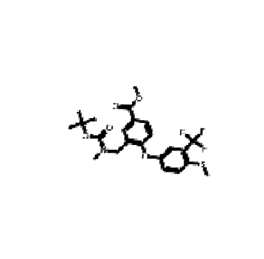 COC(=O)c1ccc(Oc2ccc(SC)c(C(F)(F)F)c2)c(CN(C)C(=O)OC(C)(C)C)c1